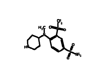 CN(c1ccc(S(N)(=O)=O)cc1S(=O)(=O)C(F)(F)F)C1CCNCC1